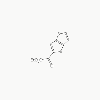 CCOC(=O)C(=O)c1cc2sccc2s1